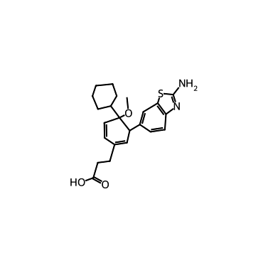 COC1(C2CCCCC2)C=CC(CCC(=O)O)=CC1c1ccc2nc(N)sc2c1